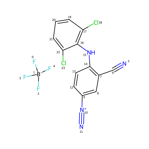 F[B-](F)(F)F.N#Cc1cc([N+]#N)ccc1Nc1c(Cl)cccc1Cl